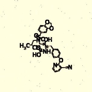 CC(C)CN(C[C@@H](O)[C@H](Cc1ccc(Oc2ncccc2C#N)cc1)NC(=O)O)S(=O)(=O)c1ccc2c(c1)OCO2